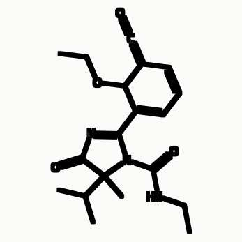 CCNC(=O)N1C(C2=CC=CC(=C=O)C2OCC)=NC(=O)C1(C)C(C)C